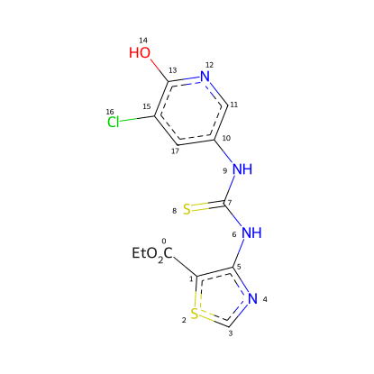 CCOC(=O)c1scnc1NC(=S)Nc1cnc(O)c(Cl)c1